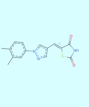 Cc1ccc(-n2cc(/C=C3\SC(=O)NC3=O)cn2)cc1C